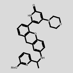 COc1cccc(C(C)Nc2ccc3c(c2)Cc2cccc(-c4cc(N5CCOCC5)cc(=O)[nH]4)c2O3)n1